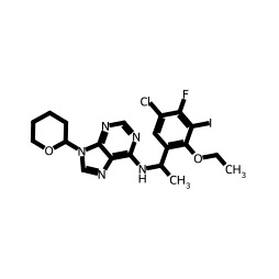 CCOc1c(C(C)Nc2ncnc3c2ncn3C2CCCCO2)cc(Cl)c(F)c1I